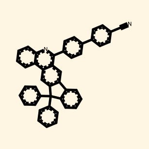 N#Cc1ccc(-c2ccc(-c3nc4ccccc4c4cc5c(cc34)-c3ccccc3C5(c3ccccc3)c3ccccc3)cc2)cc1